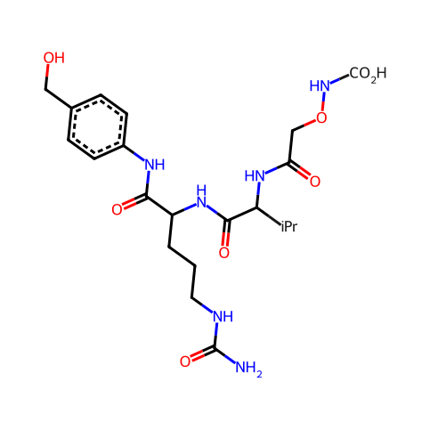 CC(C)C(NC(=O)CONC(=O)O)C(=O)NC(CCCNC(N)=O)C(=O)Nc1ccc(CO)cc1